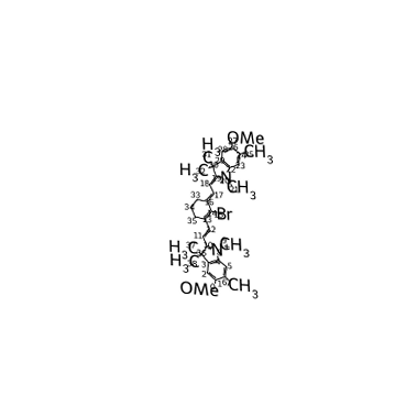 COc1cc2c(cc1C)[N+](C)=C(/C=C/C1=C(Br)C(=C/C=C3\N(C)c4cc(C)c(OC)cc4C3(C)C)/CCC1)C2(C)C